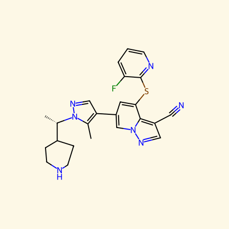 Cc1c(-c2cc(Sc3ncccc3F)c3c(C#N)cnn3c2)cnn1[C@@H](C)C1CCNCC1